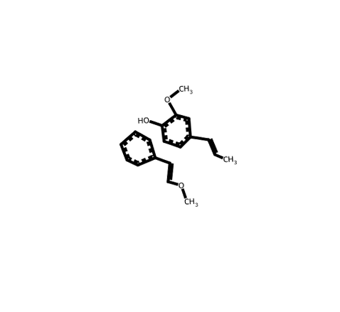 CC=Cc1ccc(O)c(OC)c1.COC=Cc1ccccc1